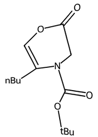 CCCCC1=COC(=O)CN1C(=O)OC(C)(C)C